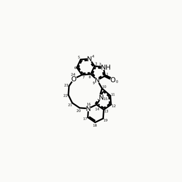 O=c1[nH]c2nccc3c2n1-c1ccc2c(n1)N(C=CC2)CCCCO3